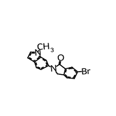 Cn1ccc2ccc(N3Cc4ccc(Br)cc4C3=O)cc21